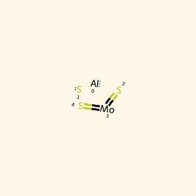 [Al].[S].[S]=[Mo]=[S]